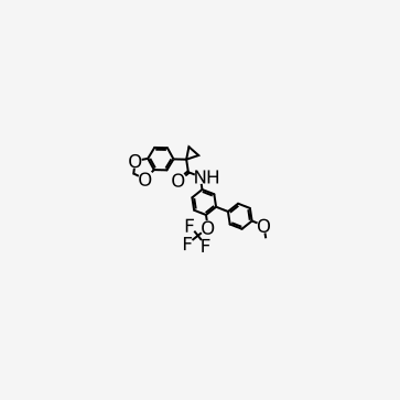 COc1ccc(-c2cc(NC(=O)C3(c4ccc5c(c4)OCO5)CC3)ccc2OC(F)(F)F)cc1